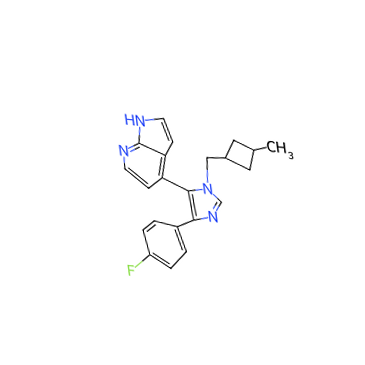 CC1CC(Cn2cnc(-c3ccc(F)cc3)c2-c2ccnc3[nH]ccc23)C1